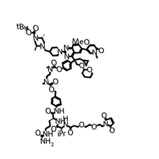 COc1cc(=O)n(C)cc1-c1ccc2nc(N3CCC(CN4C[C@@H](C)N(C(=O)OC(C)(C)C)C[C@@H]4C)CC3)nc(C(COC3CCCCO3)(CC3CC3)c3ccc(OC(=O)N(C)CCN(C)C(=O)OCc4ccc(NC(=O)[C@H](CCCNC(N)=O)NC(=O)[C@@H](NC(=O)CCOCCOCCN5C(=O)C=CC5=O)C(C)C)cc4)cc3)c2c1